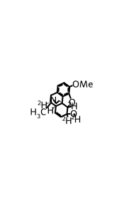 [2H]OC1([2H])C=C[C@H]2[C@@]3([2H])Cc4ccc(OC)c5c4[C@@]2(CCN3C)C1([2H])O5